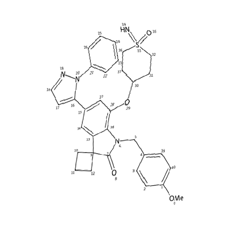 COc1ccc(CN2C(=O)C3(CCC3)c3cc(-c4ccnn4-c4ccccc4)cc(OC4CCS(=N)(=O)CC4)c32)cc1